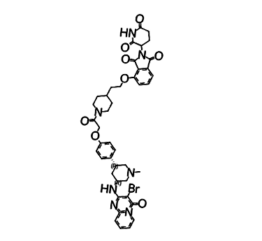 CN1C[C@H](Nc2nc3ccccn3c(=O)c2Br)C[C@H](c2ccc(OCC(=O)N3CCC(CCOc4cccc5c4C(=O)N(C4CCC(=O)NC4=O)C5=O)CC3)cc2)C1